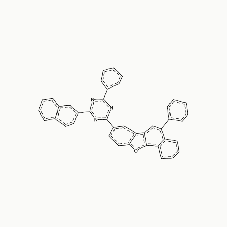 c1ccc(-c2nc(-c3ccc4ccccc4c3)nc(-c3ccc4oc5c6ccccc6c(-c6ccccc6)cc5c4c3)n2)cc1